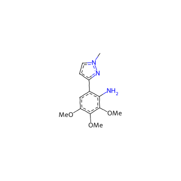 COc1cc(-c2ccn(C)n2)c(N)c(OC)c1OC